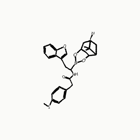 CSc1ccc(CC(=O)NC(Cc2coc3ccccc23)B2OC3C[C@@H]4CC(C3O2)C4(C)C)cc1